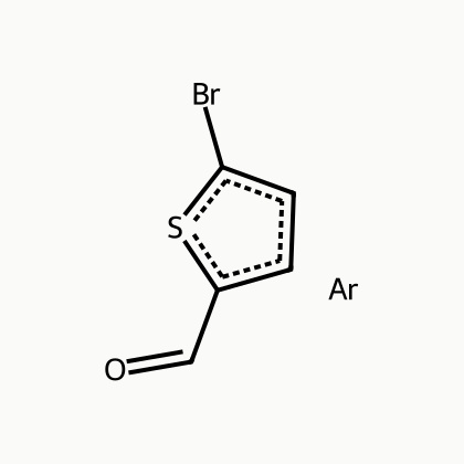 O=Cc1ccc(Br)s1.[Ar]